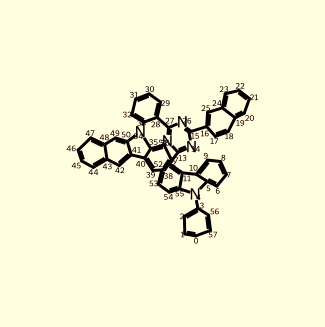 c1ccc(-n2c3ccccc3c3c(-c4nc(-c5ccc6ccccc6c5)nc(-c5ccccc5-n5c6ccccc6c6cc7ccccc7cc65)n4)cccc32)cc1